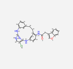 O=C(Cc1coc2ccccc12)Nc1ccc2cc1CCc1cccc(c1)Nc1ncc(Cl)c(n1)N2